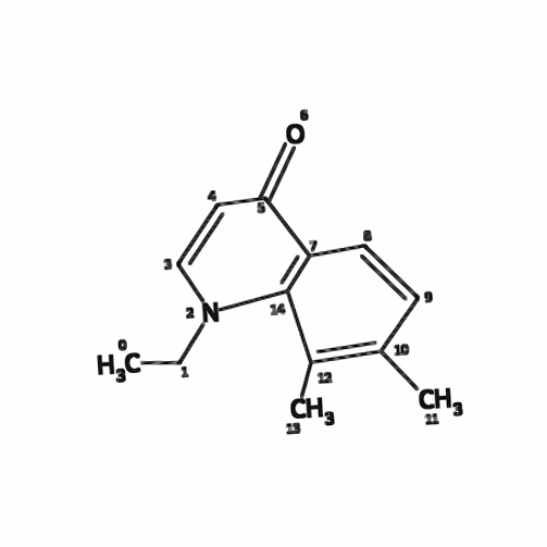 CCn1ccc(=O)c2ccc(C)c(C)c21